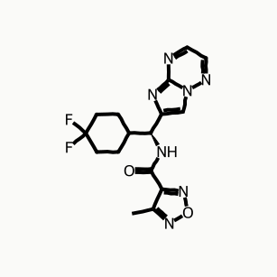 Cc1nonc1C(=O)N[C@H](c1cn2nccnc2n1)C1CCC(F)(F)CC1